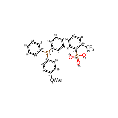 COc1ccc([S+](c2ccccc2)c2ccccc2)cc1.O=S(=O)([O-])c1ccccc1C(F)(F)F